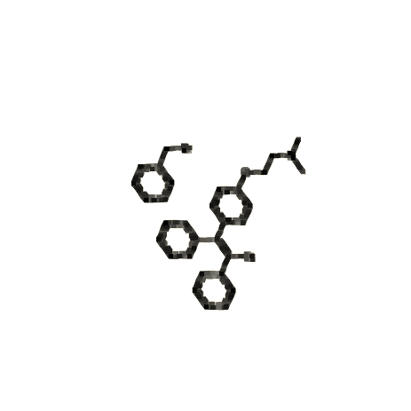 BrCc1ccccc1.CCC(=C(c1ccccc1)c1ccc(OCCN(C)C)cc1)c1ccccc1